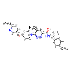 COc1ccc([C@@H](C)NC(=O)c2cc(C)c(N3CCC(Oc4ccc(OC)nc4)CC3)nn2)cc1